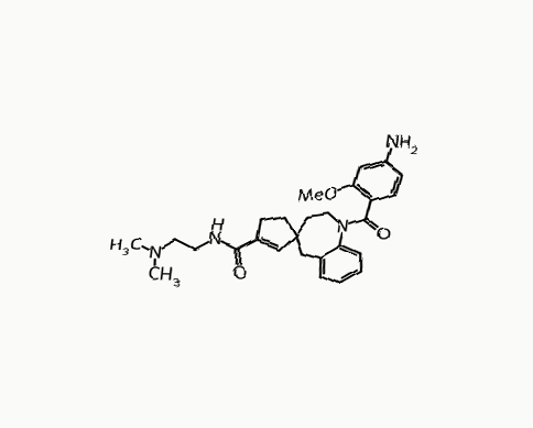 COc1cc(N)ccc1C(=O)N1CCC2(C=C(C(=O)NCCN(C)C)CC2)Cc2ccccc21